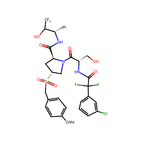 COc1ccc(CS(=O)(=O)[C@@H]2C[C@@H](C(=O)N[C@@H](C(C)C)C(O)C(F)(F)F)N(C(=O)[C@H](CO)NC(=O)C(F)(F)c3cccc(Cl)c3)C2)cc1